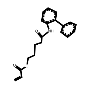 C=CC(=O)OCCCCC(=O)Nc1ccccc1-c1ccccc1